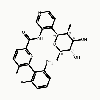 C[C@H]1[C@@H](O)[C@H](O)[C@@H](C)O[C@H]1c1ccncc1NC(=O)c1ccc(F)c(-c2c(F)cccc2P)n1